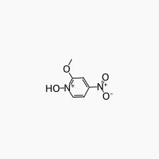 COc1cc([N+](=O)[O-])cc[n+]1O